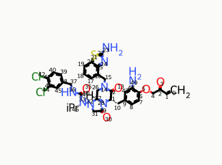 C=CC(=O)COc1ccc(C[C@H]2C(=O)N(Cc3cccc4sc(N)nc34)C[C@H]3N2C(=O)CN3N(C(=O)NCc2ccc(Cl)c(Cl)c2)C(C)C)cc1N